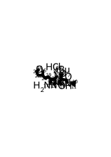 CC(C)(C)Cn1c(=O)c(C(=O)NC2CC2)c(O)n2nc(N)c(/C=C/C3CCOC3)c12.Cl